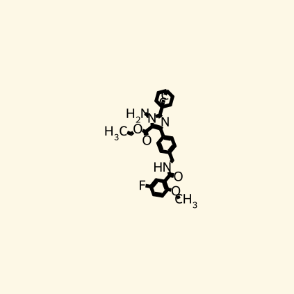 CCOC(=O)c1c(-c2ccc(CNC(=O)c3cc(F)ccc3OC)cc2)nc(C23CCC(CC2)CC3)n1N